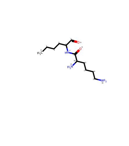 CCCCC([C]=O)NC(=O)C(N)CCCCN